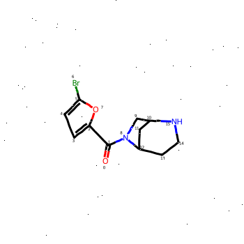 O=C(c1ccc(Br)o1)N1CC2CC1CCN2